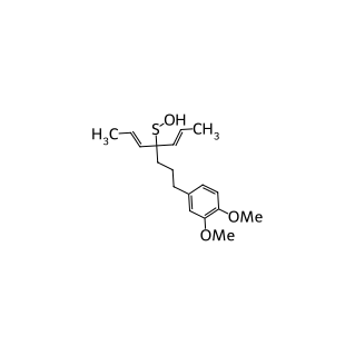 CC=CC(C=CC)(CCCc1ccc(OC)c(OC)c1)SO